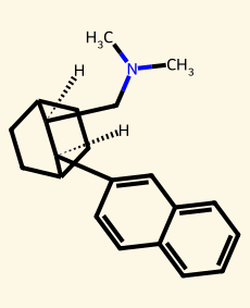 CN(C)C[C@@H]1C2CCC(CC2)[C@@H]1c1ccc2ccccc2c1